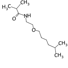 CC(C)CCCCOCCNC(=O)C(C)C